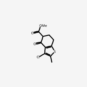 COC(=O)C1CCc2sc(C)c(Cl)c2C1=O